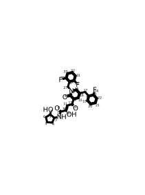 O=C(NC1CCCC1O)C(O)=CC(=O)c1cc(Cc2ccccc2F)cn(Cc2c(F)cccc2F)c1=O